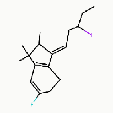 CCC(I)C/C=C1/C2=C(C=C(F)CC2)C(C)(C)C1C